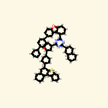 c1ccc(-c2ccc(-c3ccc4oc5cccc(-c6nc(-c7cccc(-c8ccc(-c9cc%10ccccc%10c%10c9sc9ccccc9%10)cc8)c7)nc(-c7ccc8ccccc8c7)n6)c5c4c3)cc2)cc1